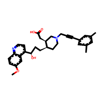 COc1ccc2nccc([C@@H](O)CC[C@@H]3CCN(CC#Cc4cc(C)cc(C)c4)C[C@@H]3CC(=O)O)c2c1